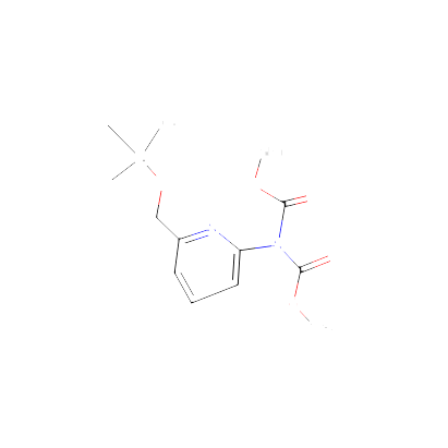 CCCCOC(=O)N(C(=O)OCCCC)c1cccc(CO[Si](C)(C)C(C)(C)C)n1